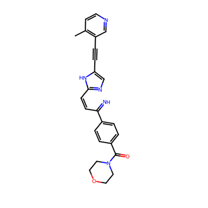 Cc1ccncc1C#Cc1cnc(/C=C\C(=N)c2ccc(C(=O)N3CCOCC3)cc2)[nH]1